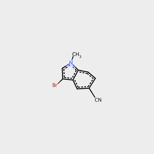 Cn1cc(Br)c2cc(C#N)ccc21